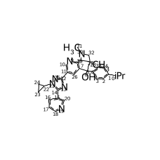 CC(C)c1ccc(C(O)(c2cncc(-c3nc(-c4cccnc4)n(C4CC4)n3)c2)C2(C)CN(C)C2)cc1